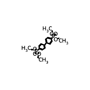 CCOP(=O)(OCC)c1ccc(-c2ccc(P(=O)(OCC)OCC)cc2)cc1